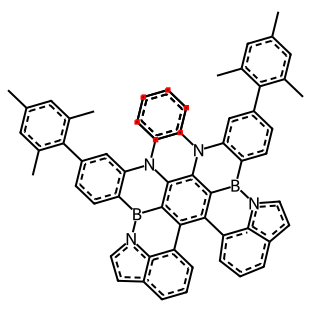 Cc1cc(C)c(-c2ccc3c(c2)N(c2ccccc2)c2c4c(c5c6c2N(c2ccccc2)c2cc(-c7c(C)cc(C)cc7C)ccc2B6n2ccc6cccc-5c62)-c2cccc5ccn(c25)B34)c(C)c1